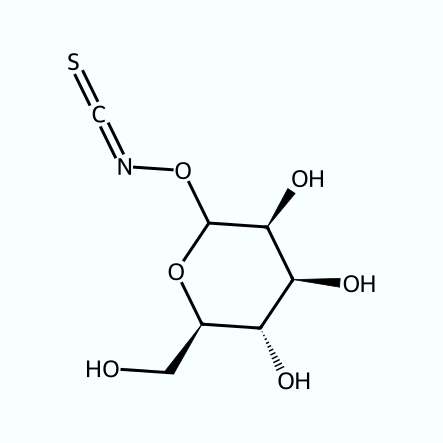 OC[C@H]1OC(ON=C=S)[C@@H](O)[C@@H](O)[C@@H]1O